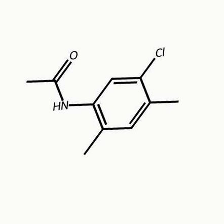 CC(=O)Nc1cc(Cl)c(C)cc1C